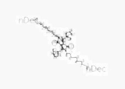 CCCCCCCCCCCCCCCCCCN1C(=O)C2=C(c3cccs3)N(CCCCCCCCCCCCCCCCCC)C(=O)C2=C1c1cccs1